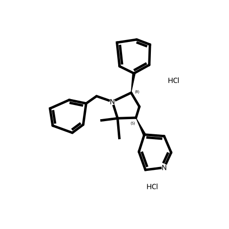 CC1(C)[C@H](c2ccncc2)C[C@H](c2ccccc2)N1Cc1ccccc1.Cl.Cl